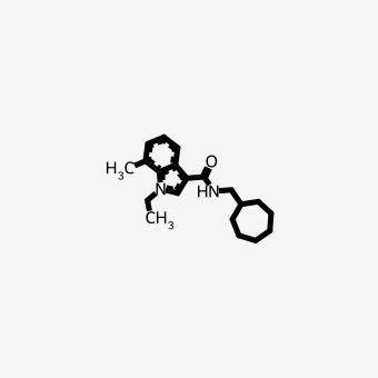 CCn1cc(C(=O)NCC2CCCCCC2)c2cccc(C)c21